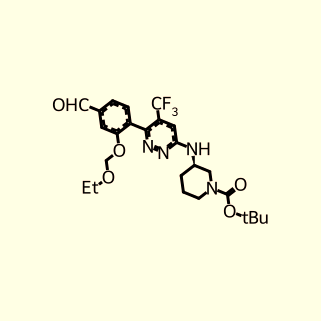 CCOCOc1cc(C=O)ccc1-c1nnc(N[C@@H]2CCCN(C(=O)OC(C)(C)C)C2)cc1C(F)(F)F